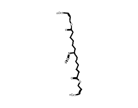 CCCCCCCC/C=C\COC(=O)CCCCCC(CCCCCC(=O)OC/C=C\CCCCCCCC)N=[N+]=[N-]